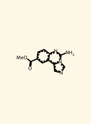 COC(=O)c1ccc2nc(N)n3cncc3c2c1